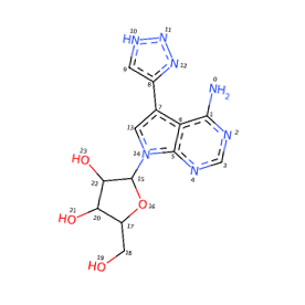 Nc1ncnc2c1c(-c1c[nH]nn1)cn2C1OC(CO)C(O)C1O